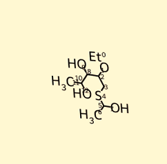 CCOC(CSC(C)O)[C@H](O)C(C)O